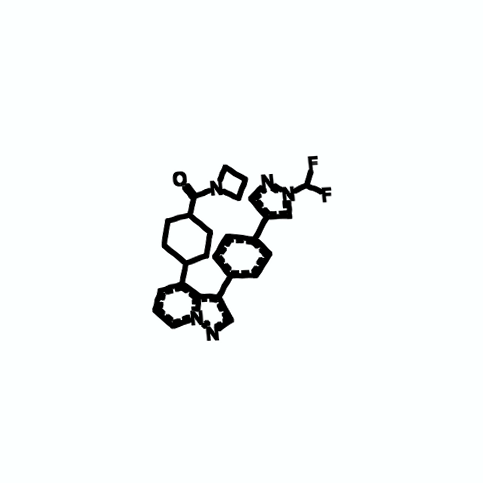 O=C(C1CCC(c2cccn3ncc(-c4ccc(-c5cnn(C(F)F)c5)cc4)c23)CC1)N1CCC1